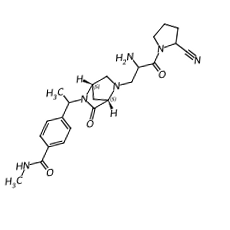 CNC(=O)c1ccc(C(C)N2C(=O)[C@@H]3C[C@H]2CN3CC(N)C(=O)N2CCCC2C#N)cc1